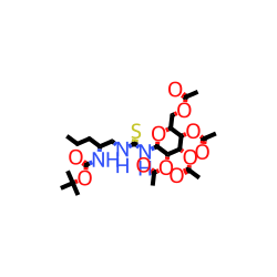 CCCC(CNC(=S)NC1OC(COC(C)=O)C(OC(C)=O)C(OC(C)=O)C1OC(C)=O)NC(=O)OC(C)(C)C